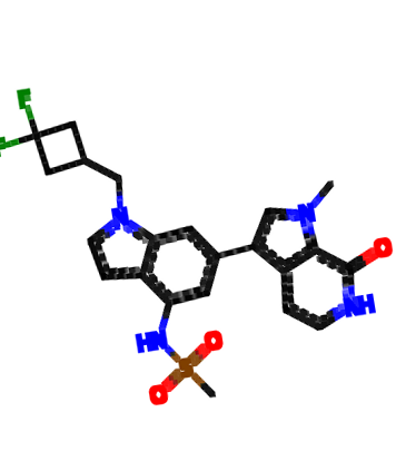 Cn1cc(-c2cc(NS(C)(=O)=O)c3ccn(CC4CC(F)(F)C4)c3c2)c2cc[nH]c(=O)c21